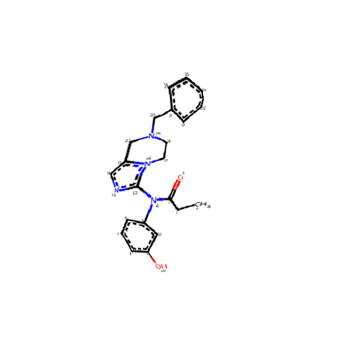 CCC(=O)N(c1cccc(O)c1)c1ncc2n1CCN(Cc1ccccc1)C2